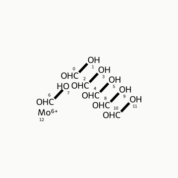 O=[C-]O.O=[C-]O.O=[C-]O.O=[C-]O.O=[C-]O.O=[C-]O.[Mo+6]